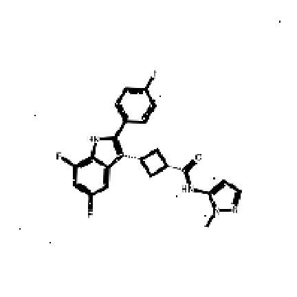 Cn1nccc1NC(=O)[C@H]1C[C@@H](c2c(-c3ccc(F)cc3)[nH]c3c(F)cc(F)cc32)C1